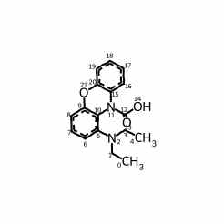 CCN(CC)c1cccc2c1N(C(=O)O)c1ccccc1O2